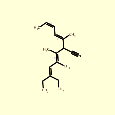 C/C=C\C=C(/C)C(C#N)/C(C)=C(\C)C=C(CC)CC